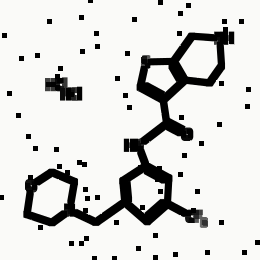 Cl.Cl.O=C(Nc1cc(CN2CCOCC2)cc(C(F)(F)F)c1)c1csc2c1CCNC2